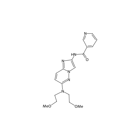 COCCN(CCOC)c1ccc2nc(NC(=O)c3cccnc3)cn2n1